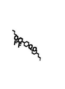 CCCCOc1ccc(C2CCC(OCC3CCC(CCCC)CO3)CC2)c(F)c1F